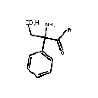 CC(C)C(=O)C(N)(CC(=O)O)c1ccccc1